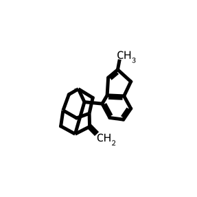 C=C1C2C[C]3CC(C2)CC1C3c1cccc2c1C=C(C)C2